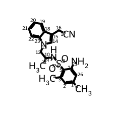 Cc1cc(C)c(S(=O)(=O)N[C@@H](C)Cn2cc(CC#N)c3ccccc32)c(N)c1